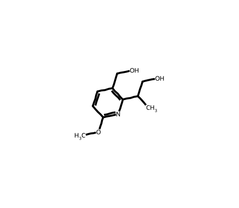 COc1ccc(CO)c(C(C)CO)n1